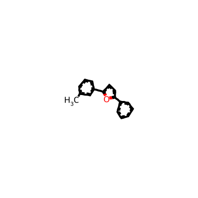 Cc1cccc(-c2ccc(-c3ccccc3)o2)c1